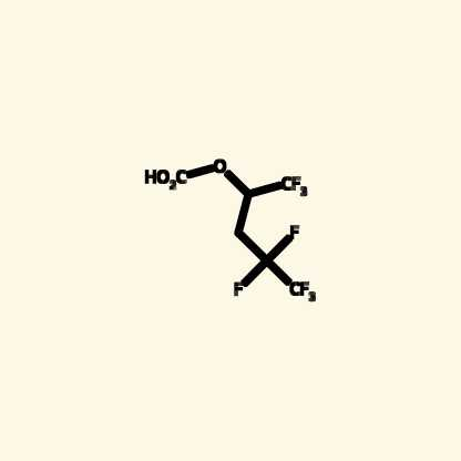 O=C(O)OC(CC(F)(F)C(F)(F)F)C(F)(F)F